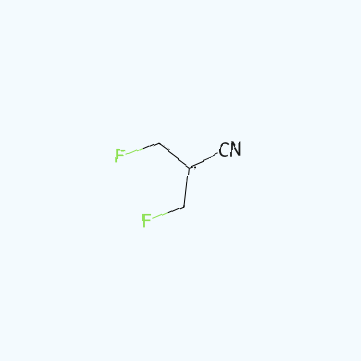 N#C[C](CF)CF